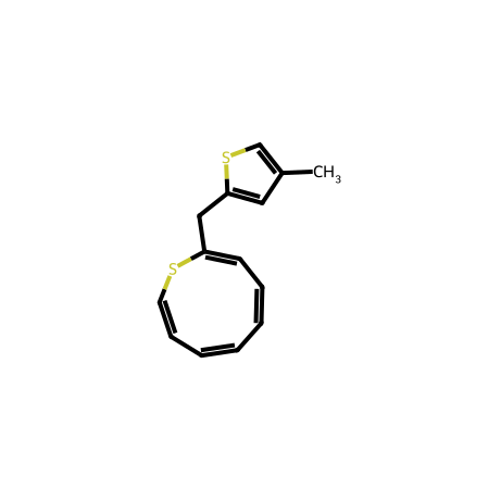 Cc1csc(Cc2cccccccs2)c1